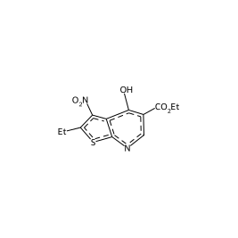 CCOC(=O)c1cnc2sc(CC)c([N+](=O)[O-])c2c1O